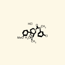 COc1cccc(C2(O)CCN(C(=O)N(C)c3cccc(Cl)c3)CC2CN(C)C)c1.Cl